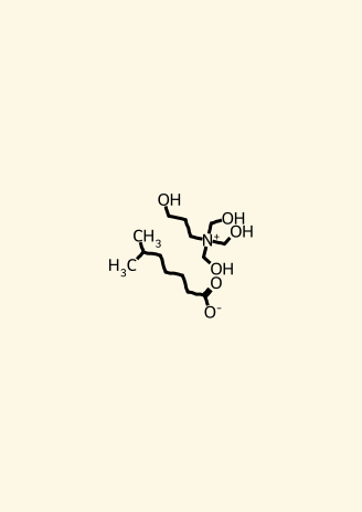 CC(C)CCCCC(=O)[O-].OCCC[N+](CO)(CO)CO